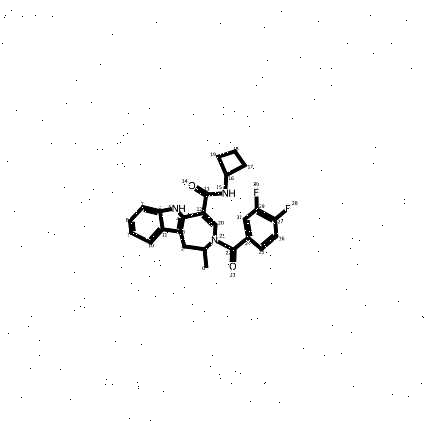 CC1Cc2c([nH]c3ccccc23)C(C(=O)NC2CCC2)=CN1C(=O)c1ccc(F)c(F)c1